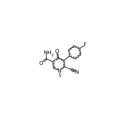 Cn1cc(C(N)=O)c(=O)c(-c2ccc(F)cc2)c1C#N